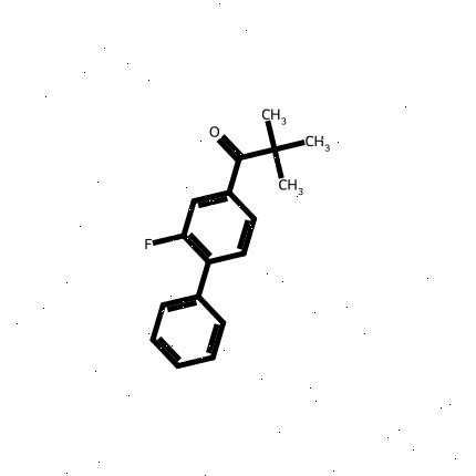 CC(C)(C)C(=O)c1ccc(-c2ccccc2)c(F)c1